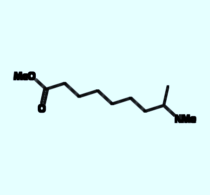 [CH2]NC(C)CCCCCCC(=O)OC